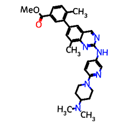 COC(=O)c1ccc(C)c(-c2cc(C)c3nc(Nc4ccc(N5CCC(N(C)C)CC5)nc4)ncc3c2)c1